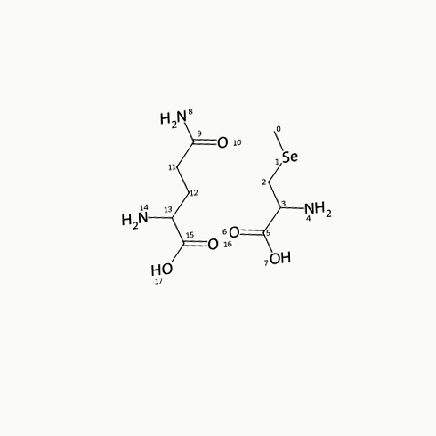 C[Se]CC(N)C(=O)O.NC(=O)CCC(N)C(=O)O